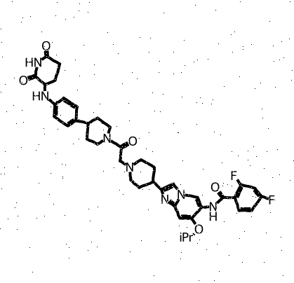 CC(C)Oc1cc2nc(C3CCN(CC(=O)N4CCC(c5ccc(NC6CCC(=O)NC6=O)cc5)CC4)CC3)cn2cc1NC(=O)c1ccc(F)cc1F